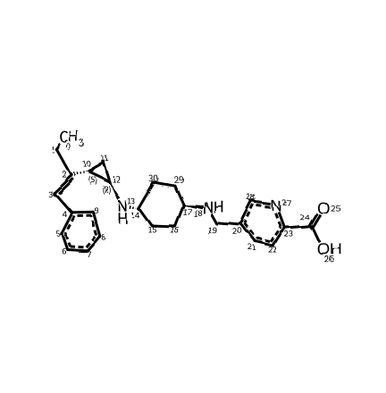 CCC(=Cc1ccccc1)[C@@H]1C[C@H]1N[C@H]1CC[C@H](NCc2ccc(C(=O)O)nc2)CC1